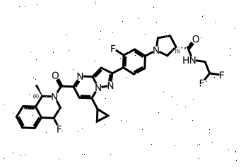 C[C@@H]1c2ccccc2C(F)CN1C(=O)c1cc(C2CC2)n2nc(-c3ccc(N4CC[C@H](C(=O)NCC(F)F)C4)cc3F)cc2n1